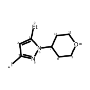 CCc1cc(I)nn1C1CCOCC1